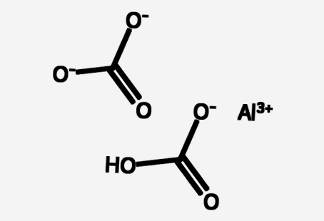 O=C([O-])O.O=C([O-])[O-].[Al+3]